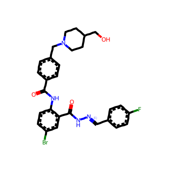 O=C(Nc1ccc(Br)cc1C(=O)N/N=C/c1ccc(F)cc1)c1ccc(CN2CCC(CO)CC2)cc1